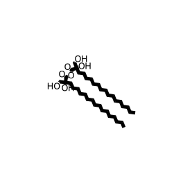 CCCCCCCCCCCCCCCCC(O)(CO)C(=O)OC(=O)C(O)(CO)CCCCCCCCCCCCCCCC